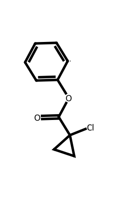 O=C(Oc1[c]cccc1)C1(Cl)CC1